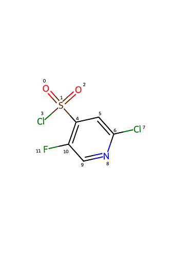 O=S(=O)(Cl)c1cc(Cl)ncc1F